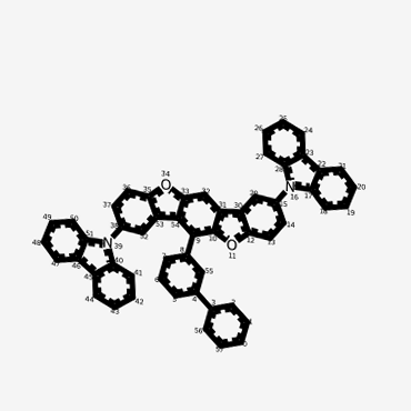 c1ccc(-c2cccc(-c3c4oc5ccc(-n6c7ccccc7c7ccccc76)cc5c4cc4oc5ccc(-n6c7ccccc7c7ccccc76)cc5c34)c2)cc1